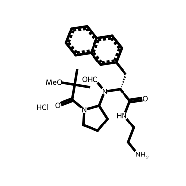 COC(C)(C)C(=O)N1CCCC1N(C=O)[C@H](Cc1ccc2ccccc2c1)C(=O)NCCN.Cl